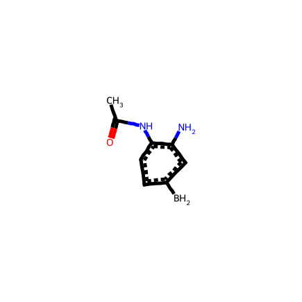 Bc1ccc(NC(C)=O)c(N)c1